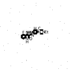 CCN1CCN(c2ccc3[nH]c(-c4c(N)c5c(F)cccc5[nH]c4=O)nc3c2)[C@@H](C)C1